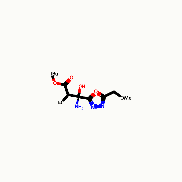 CCC(C(=O)OC(C)(C)C)[C@](N)(O)c1nnc(COC)o1